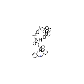 CC(C)(CNC(=O)CCC(=O)N1CC2=C(/C=C\c3ccccc31)CCC=C2)COCC(C)(C)CC(=O)ON1C(=O)CCC1=O